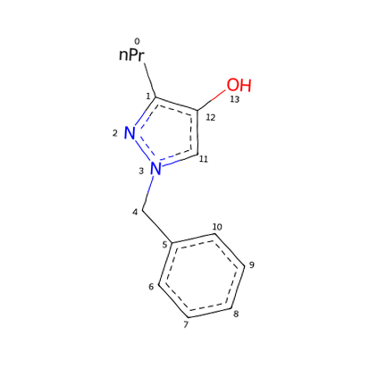 CCCc1nn(Cc2ccccc2)cc1O